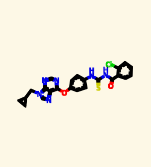 O=C(NC(=S)Nc1ccc(Oc2ncnc3c2ncn3CC2CC2)cc1)c1ccccc1Cl